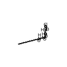 CCC=CCC=CCC=CCC=CCC=CCC=CCCC(=O)NCCCNC(=O)C(C)(C)Oc1ccc(CCNC(=O)c2ccc(Cl)cc2)cc1